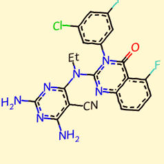 CCN(c1nc(N)nc(N)c1C#N)c1nc2cccc(F)c2c(=O)n1-c1cc(F)cc(Cl)c1